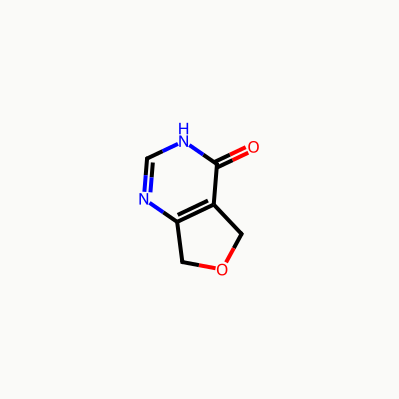 O=c1[nH]cnc2c1COC2